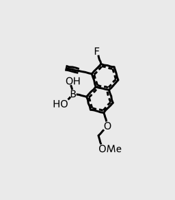 C#Cc1c(F)ccc2cc(OCOC)cc(B(O)O)c12